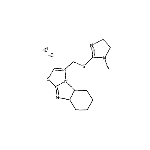 CN1CCN=C1SCC1=CSC2=NC3CCCCC3N12.Cl.Cl